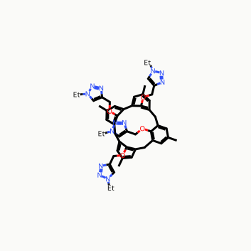 CCn1cc(COc2c3cc(C)cc2Cc2cc(C)cc(c2OCc2cn(CC)nn2)-c2cc(C)cc(c2OCc2cn(CC)nn2)Cc2cc(C)cc(c2OCc2cn(CC)nn2)C3)nn1